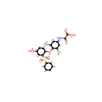 O=C(O)C(=O)Nc1cc(Cl)c(Oc2ccc(O)cc2S(=O)(=O)c2ccccc2)c(Cl)c1